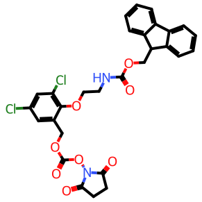 O=C(NCCOc1c(Cl)cc(Cl)cc1COC(=O)ON1C(=O)CCC1=O)OCC1c2ccccc2-c2ccccc21